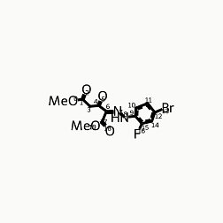 COC(=O)CC(=O)C(=NNc1ccc(Br)cc1F)C(=O)OC